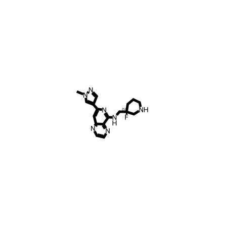 Cn1cc(-c2cc3nccnc3c(NC[C@]3(F)CCCNC3)n2)cn1